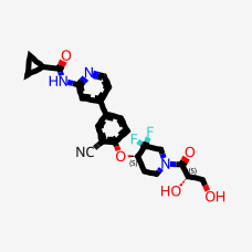 N#Cc1cc(-c2ccnc(NC(=O)C3CC3)c2)ccc1O[C@H]1CCN(C(=O)[C@@H](O)CO)CC1(F)F